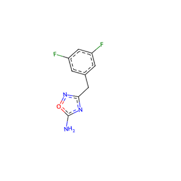 Nc1nc(Cc2cc(F)cc(F)c2)no1